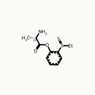 CCS(=S)c1ccccc1OC(=O)[C@H](C)N